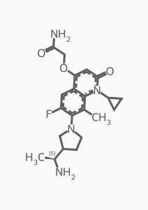 Cc1c(N2CCC([C@H](C)N)C2)c(F)cc2c(OCC(N)=O)cc(=O)n(C3CC3)c12